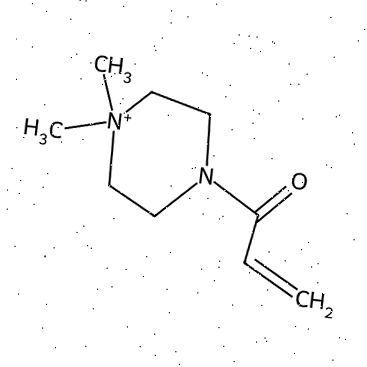 C=CC(=O)N1CC[N+](C)(C)CC1